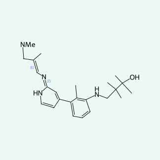 CNC/C(C)=C/N=c1/cc(-c2cccc(NCC(C)(C)C(C)(C)O)c2C)cc[nH]1